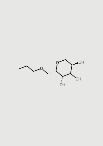 CCCOC[C@@H]1OC[C@@H](O)C(O)[C@@H]1O